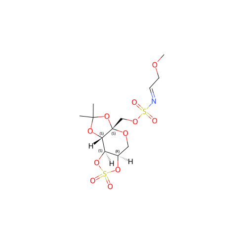 COCC=NS(=O)(=O)OC[C@@]12OC[C@H]3OS(=O)(=O)O[C@H]3[C@@H]1OC(C)(C)O2